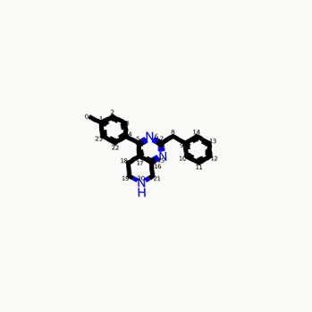 Cc1ccc(-c2nc(Cc3ccccc3)nc3c2CCNC3)cc1